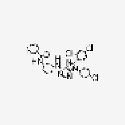 O=C(NC1CCCC(Nc2ncnc3c2nc(-c2ccc(Cl)cc2Cl)n3-c2ccc(Cl)cc2)C1)c1cccnc1